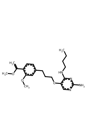 C=C(OC)c1ccc(CCCOc2cnc(N)nc2NCCCC)cc1OC